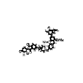 COc1cc(-c2cn(C)c(=O)c3cc(C)sc23)cc(OC)c1CN1CCC(CN2CCC3(CC2)CN(c2ccc4c(c2)C(=O)N(C2CCC(=O)NC2=O)C4=O)C3)CC1